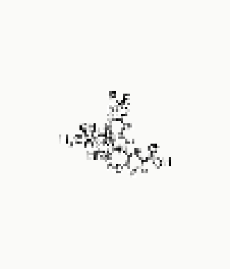 CC(C)(C)OC(=O)N[C@H]1CSc2ccc(C(=O)O)cc2N(Cc2cccc(OC(F)(F)F)c2)C1=O